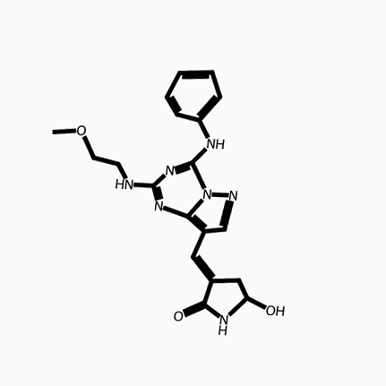 COCCNc1nc(Nc2ccccc2)n2ncc(/C=C3\CC(O)NC3=O)c2n1